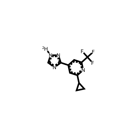 [2H]n1cnc(-c2cc(C3CC3)nc(C(F)(F)F)c2)n1